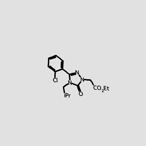 CCOC(=O)Cn1nc(-c2ccccc2Cl)n(CC(C)C)c1=O